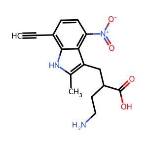 C#Cc1ccc([N+](=O)[O-])c2c(CC(CCN)C(=O)O)c(C)[nH]c12